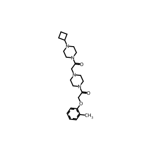 Cc1ccccc1OCC(=O)N1CCN(CC(=O)N2CCN(C3CCC3)CC2)CC1